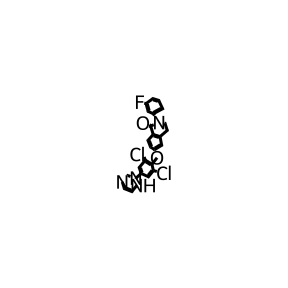 O=C1c2ccc(Oc3c(Cl)cc(N4C=NC=CN4)cc3Cl)cc2CCN1c1cccc(F)c1